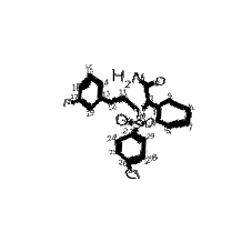 NC(=O)C(c1ccccc1)N(CCc1cccc(F)c1)S(=O)(=O)c1ccc(Cl)cc1